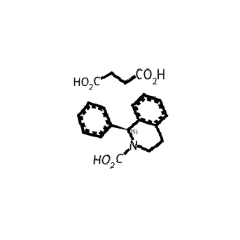 O=C(O)CCC(=O)O.O=C(O)N1CCc2ccccc2[C@@H]1c1ccccc1